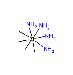 [CH3][Zr]([CH3])([CH3])([CH3])([NH2])([NH2])([NH2])[NH2]